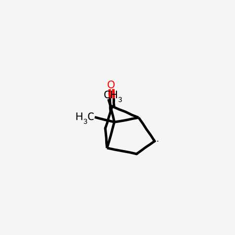 CC1(C)C2C[CH]C1C(=O)C2